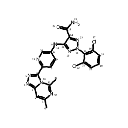 Cc1cc2nnc(-c3ccc(Nc4nn(-c5c(Cl)cccc5Cl)nc4C(N)=O)cn3)n2c(C)n1